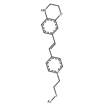 CC(=O)SCC[n+]1ccc(/C=C/c2ccc3c(c2)OCCN3)cc1